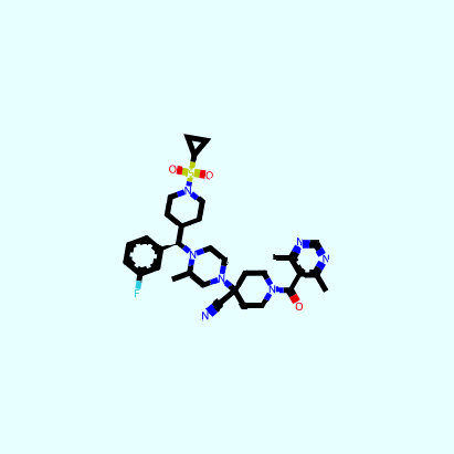 Cc1ncnc(C)c1C(=O)N1CCC(C#N)(N2CCN([C@@H](c3cccc(F)c3)C3CCN(S(=O)(=O)C4CC4)CC3)C(C)C2)CC1